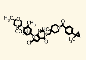 Cc1cc(-n2c(Cl)cc3c(=O)n(CC4(O)CCN(C(=O)c5ccc(C6(C)CC6)cc5)CC4)cnc32)ccc1[C@H]1CO[C@H](C)CN1C(=O)O